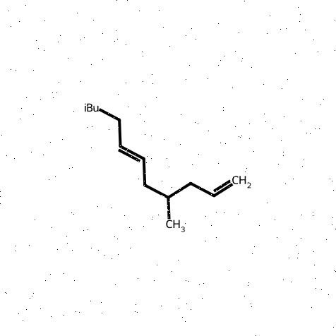 C=CCC(C)CC=CCC(C)CC